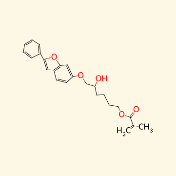 C=C(C)C(=O)OCCCCC(O)COc1ccc2cc(-c3ccccc3)oc2c1